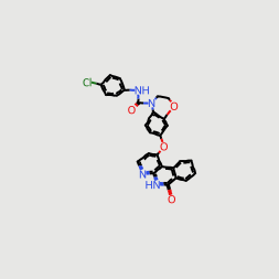 O=C(Nc1ccc(Cl)cc1)N1CCOc2cc(Oc3ccnc4[nH]c(=O)c5ccccc5c34)ccc21